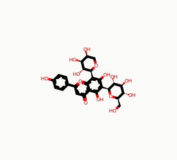 O=c1cc(-c2ccc(O)cc2)oc2c([C@@H]3OC[C@H](O)[C@H](O)[C@H]3O)c(O)c([C@@H]3O[C@H](CO)[C@@H](O)[C@H](O)[C@H]3O)c(O)c12